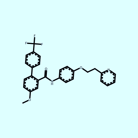 COc1ccc(-c2ccc(C(F)(F)F)cc2)c(C(=O)Nc2ccc(OCCc3ccccn3)cc2)c1